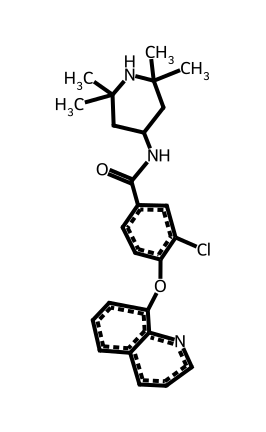 CC1(C)CC(NC(=O)c2ccc(Oc3cccc4cccnc34)c(Cl)c2)CC(C)(C)N1